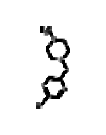 CN1CCN(Cc2cnc(Br)cn2)CC1